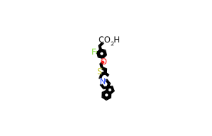 Cc1cc(COc2ccc(CCC(=O)O)c(F)c2)sc1CN1CCC2(CCc3ccccc32)CC1